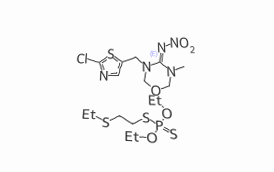 CCOP(=S)(OCC)SCCSCC.CN1COCN(Cc2cnc(Cl)s2)/C1=N/[N+](=O)[O-]